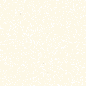 CCSC(C)(CCCCCl)[S+]([O-])CC